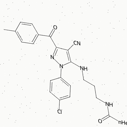 CCCCCCCC(=O)NCCCNc1c(C#N)c(C(=O)c2ccc(C)cc2)nn1-c1ccc(Cl)cc1